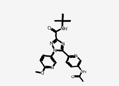 COc1ccc(-n2nc(C(=O)NC(C)(C)C)nc2-c2ccc(NC(C)=O)cn2)cn1